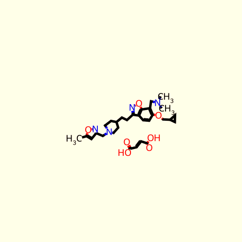 Cc1cc(CN2CCC(CCc3noc4c(CN(C)C)c(OCC5CC5)ccc34)CC2)no1.O=C(O)C=CC(=O)O